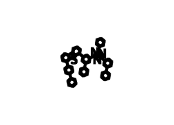 c1ccc(-c2ccc(-c3cccc4c3sc3c(-c5cc(-c6ccccc6)cc(-c6nc(-c7ccccc7)nc(-c7cccc(-c8ccccc8)c7)n6)c5)cccc34)cc2)cc1